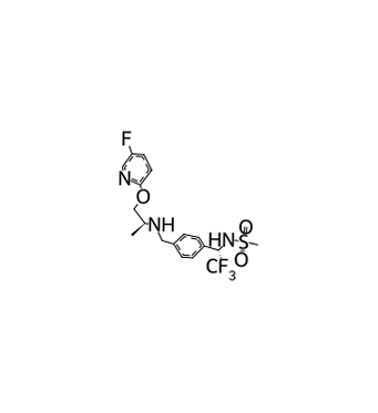 C[C@@H](COc1ccc(F)cn1)NCc1ccc([C@H](NS(C)(=O)=O)C(F)(F)F)cc1